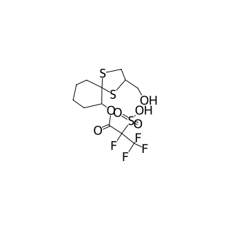 O=C(OC1CCCCC12SCC(CO)S2)C(F)(C(F)(F)F)S(=O)(=O)O